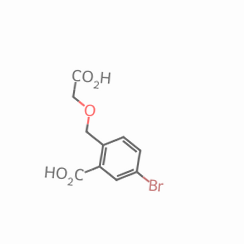 O=C(O)COCc1ccc(Br)cc1C(=O)O